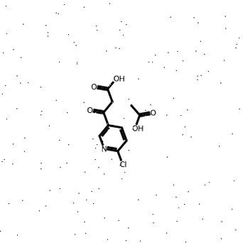 CC(=O)O.O=C(O)CC(=O)c1ccc(Cl)nc1